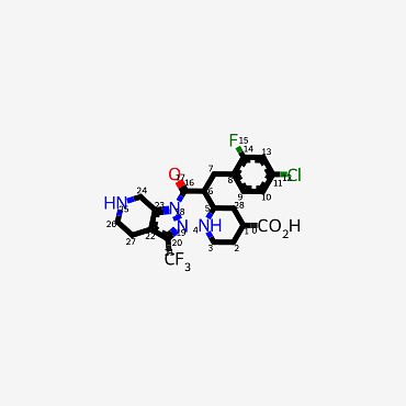 O=C(O)C1CCNC(C(Cc2ccc(Cl)cc2F)C(=O)n2nc(C(F)(F)F)c3c2CNCC3)C1